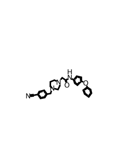 N#Cc1ccc(CN2CCCN(CC(=O)Nc3ccc(Oc4ccccc4)cc3)CC2)cc1